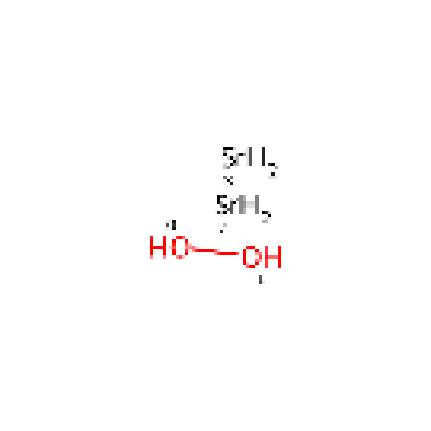 OO.[SrH2].[SrH2]